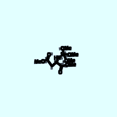 COC(=O)CC(N[Si](OC)(OC)OC)C(=O)OC